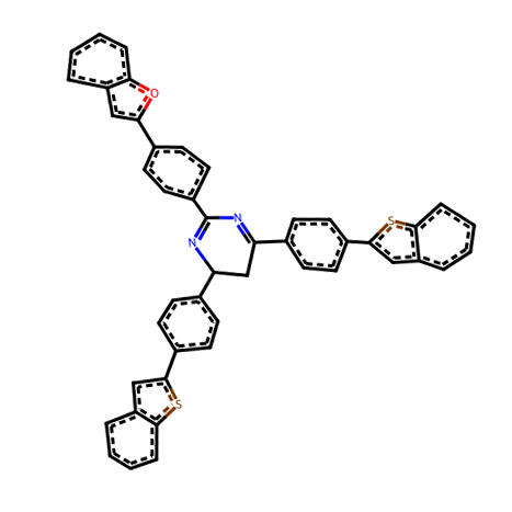 c1ccc2oc(-c3ccc(C4=NC(c5ccc(-c6cc7ccccc7s6)cc5)CC(c5ccc(-c6cc7ccccc7s6)cc5)=N4)cc3)cc2c1